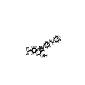 CC(O)c1cc(N2CCN(CCN3CCOCC3)CC2)nn1-c1ccc(C(F)F)cc1